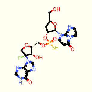 O=c1[nH]cnc2c1ncn2[C@]1(F)CO[C@H](COP(=O)(S)O[C@@H]2C[C@@H](CO)O[C@H]2n2ccc(=O)n3ccnc23)[C@H]1O